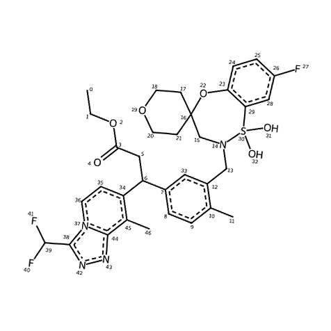 CCOC(=O)CC(c1ccc(C)c(CN2CC3(CCOCC3)Oc3ccc(F)cc3S2(O)O)c1)c1ccn2c(C(F)F)nnc2c1C